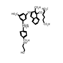 O=C(O)CCCCC(=O)O.O=C(O)c1cc(C(=O)O)cc(S(=O)(=O)O)c1.O=C(O)c1ccc(C(=O)O)cc1.O=C(O)c1ccc2ccccc2c1C(=O)O.OCCO